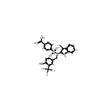 Cc1c(N(Cc2ccc([18F])c(C(F)(F)F)c2)S(=O)(=O)c2ccc(C(=O)O)cc2)sc2ccccc12